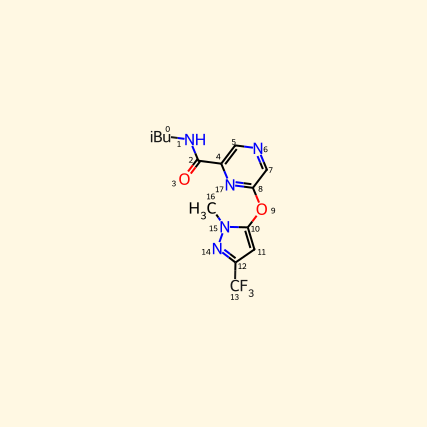 CCC(C)NC(=O)c1cncc(Oc2cc(C(F)(F)F)nn2C)n1